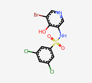 O=S(=O)(Nc1cncc(Br)c1O)c1cc(Cl)cc(Cl)c1